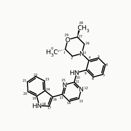 C[C@H]1CN(c2ccccc2Nc2nccc(-c3c[nH]c4ccccc34)n2)C[C@H](C)O1